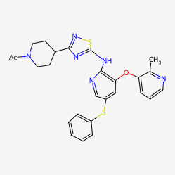 CC(=O)N1CCC(c2nsc(Nc3ncc(Sc4ccccc4)cc3Oc3cccnc3C)n2)CC1